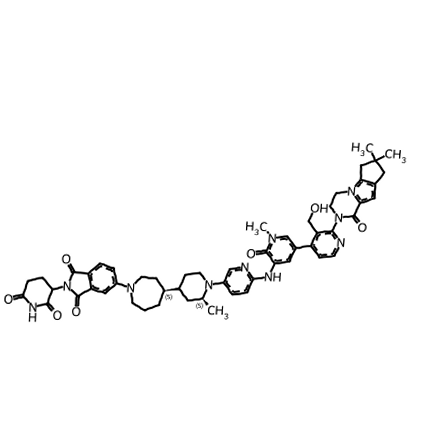 C[C@H]1CC([C@H]2CCCN(c3ccc4c(c3)C(=O)N(C3CCC(=O)NC3=O)C4=O)CC2)CCN1c1ccc(Nc2cc(-c3ccnc(N4CCn5c(cc6c5CC(C)(C)C6)C4=O)c3CO)cn(C)c2=O)nc1